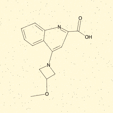 COC1CN(c2cc(C(=O)O)nc3ccccc23)C1